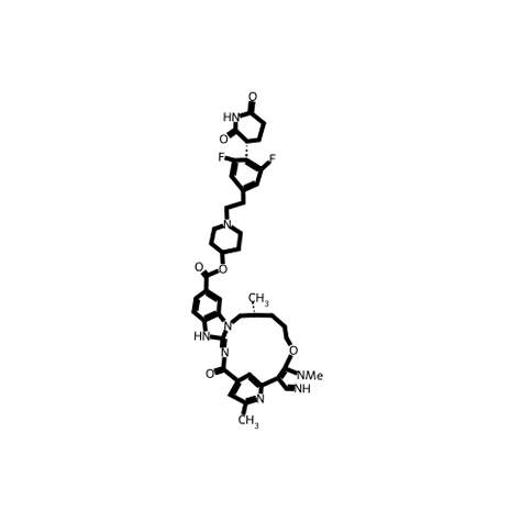 CN/C1=C(\C=N)c2cc(cc(C)n2)C(=O)/N=C2\Nc3ccc(C(=O)OC4CCN(CCc5cc(F)c([C@H]6CCC(=O)NC6=O)c(F)c5)CC4)cc3N2C[C@H](C)CCCO1